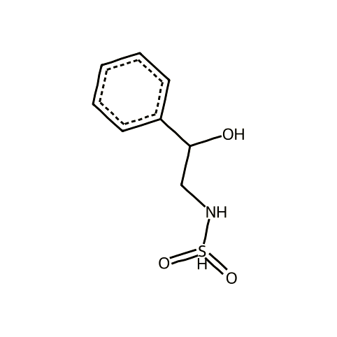 O=[SH](=O)NCC(O)c1ccccc1